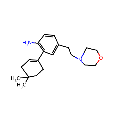 CC1(C)CC=C(c2cc(CCN3CCOCC3)ccc2N)CC1